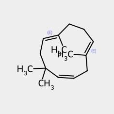 C/C1=C\CC/C(C)=C/CC(C)(C)C=CC1